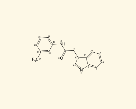 O=C(Cn1cnc2ccccc21)Nc1cccc(C(F)(F)F)c1